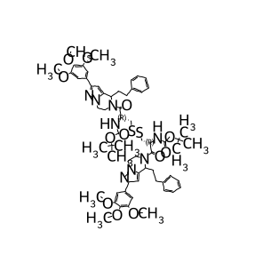 COc1cc(-c2cc3n(n2)CCN(C(=O)[C@H](CSSC[C@H](NC(=O)OC(C)(C)C)C(=O)N2CCn4nc(-c5cc(OC)c(OC)c(OC)c5)cc4C2CCc2ccccc2)NC(=O)OC(C)(C)C)C3CCc2ccccc2)cc(OC)c1OC